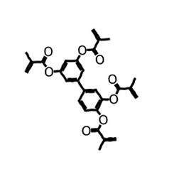 C=C(C)C(=O)Oc1cc(OC(=O)C(=C)C)cc(-c2ccc(OC(=O)C(=C)C)c(OC(=O)C(=C)C)c2)c1